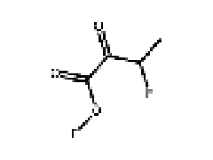 CC(F)C(=O)C(=O)OF